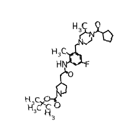 Cc1c(CN2CCN(C(=O)C3CCCC3)C(C)C2)cc(F)cc1NC(=O)CC1CCN(C(=O)OC(C)(C)C)C1